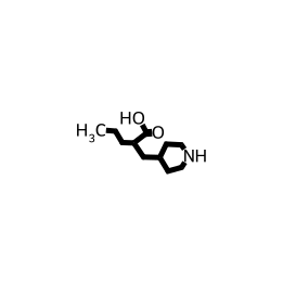 CCCC(CC1CCNCC1)C(=O)O